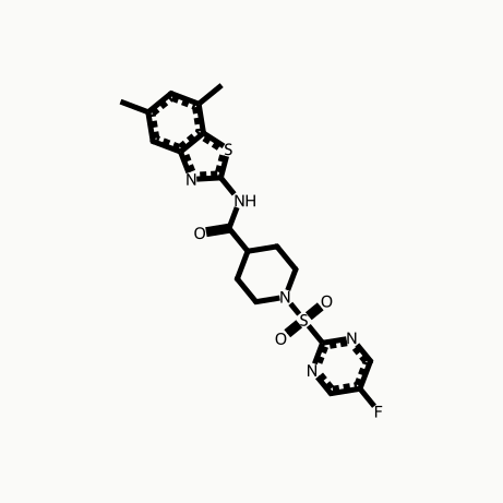 Cc1cc(C)c2sc(NC(=O)C3CCN(S(=O)(=O)c4ncc(F)cn4)CC3)nc2c1